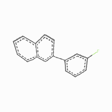 Fc1cccc(-c2ccc3ccccc3c2)c1